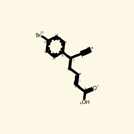 C#CC(C/C=C/C(=O)O)c1ccc(Br)cc1